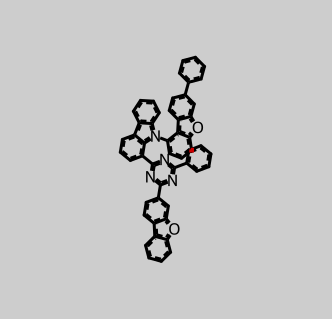 c1ccc(-c2ccc3c(c2)oc2cccc(-n4c5ccccc5c5cccc(-c6nc(-c7ccccc7)nc(-c7ccc8c(c7)oc7ccccc78)n6)c54)c23)cc1